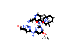 COc1cc(Nc2cc(CO)[nH]n2)nc(N(C)[C@H]2C[C@H]3CCC[C@@H](C2)N3Cc2ccnc(C#N)c2)n1